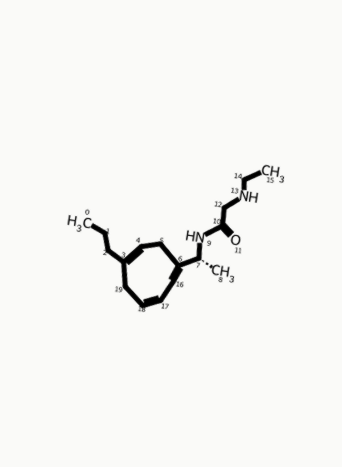 CCC/C1=C/C/C([C@@H](C)NC(=O)CNCC)=C\C=C/C1